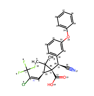 CC1(C)[C@H](/C=C(/Cl)C(F)(F)F)[C@@]1(C(=O)O)[C@H](C#N)c1cccc(Oc2ccccc2)c1